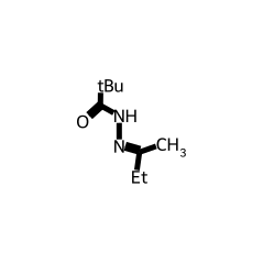 CCC(C)=NNC(=O)C(C)(C)C